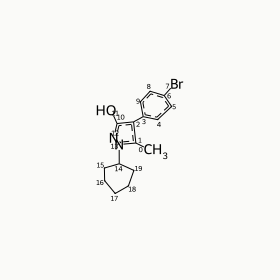 Cc1c(-c2ccc(Br)cc2)c(O)nn1C1CCCCC1